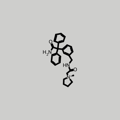 C[N+]1(CC(=O)NCc2cccc(C(C(N)=O)(c3ccccc3)c3ccccc3)c2)CCCC1